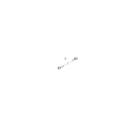 CC[B+]CC.[I-]